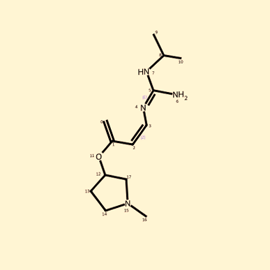 C=C(/C=C\N=C(/N)NC(C)C)OC1CCN(C)C1